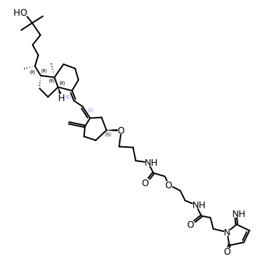 C=C1CC[C@H](OCCCNC(=O)COCCNC(=O)CCN2C(=N)C=CC2=O)C/C1=C/C=C1\CCC[C@]2(C)[C@@H]([C@H](C)CCCC(C)(C)O)CC[C@@H]12